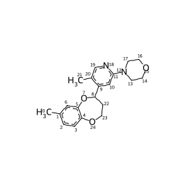 Cc1ccc2c(c1)OC(c1cc(N3CCOCC3)ncc1C)CCO2